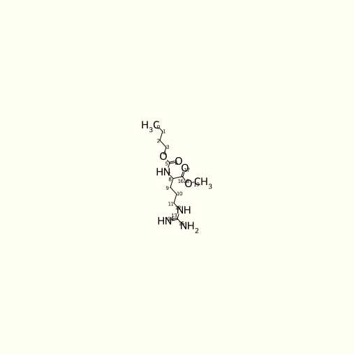 CCCCOC(=O)NC(CCCNC(=N)N)C(=O)OC